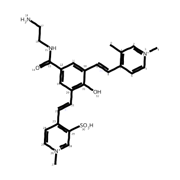 Cc1c[n+](C)ccc1/C=C/c1cc(C(=O)NCCN)cc(/C=C/c2cc[n+](C)cc2S(=O)(=O)O)c1O